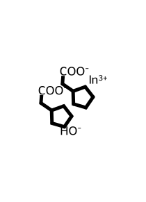 O=C([O-])CC1CCCC1.O=C([O-])CC1CCCC1.[In+3].[OH-]